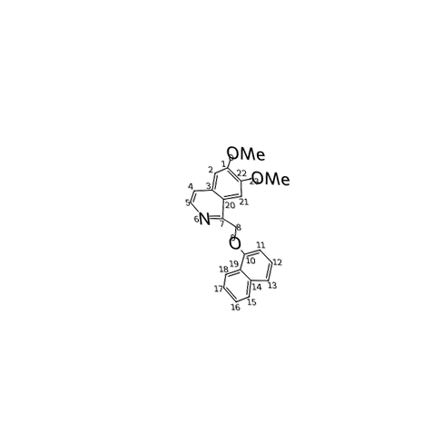 COc1cc2ccnc(COc3cccc4ccccc34)c2cc1OC